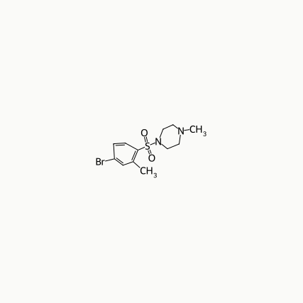 Cc1cc(Br)ccc1S(=O)(=O)N1CCN(C)CC1